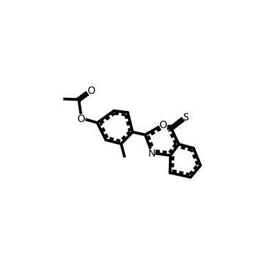 CC(=O)Oc1ccc(-c2nc3ccccc3c(=S)o2)c(C)c1